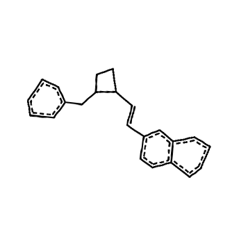 C(=CC1CCC1Cc1ccccc1)c1ccc2ccccc2c1